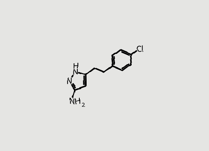 Nc1cc(CCc2ccc(Cl)cc2)[nH]n1